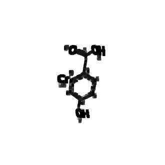 O=C(O)c1ccc(O)cc1.[Cr]